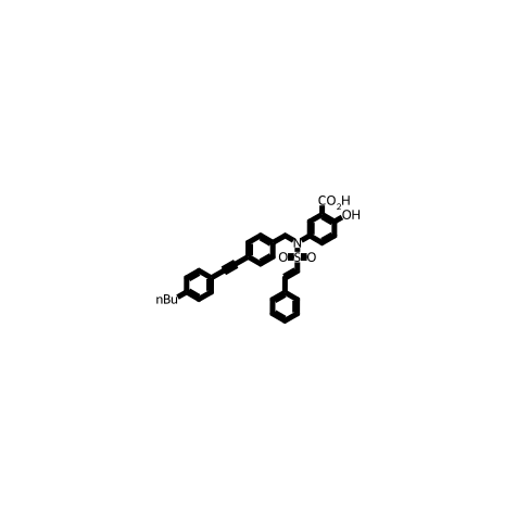 CCCCc1ccc(C#Cc2ccc(CN(c3ccc(O)c(C(=O)O)c3)S(=O)(=O)C=Cc3ccccc3)cc2)cc1